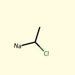 C[CH]([Na])Cl